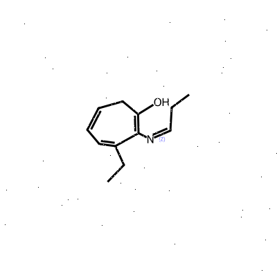 CC/C=N\C1=C(O)CC=CC=C1CC